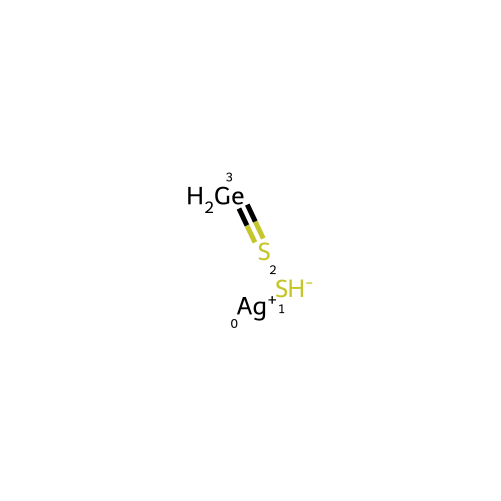 [Ag+].[SH-].[S]=[GeH2]